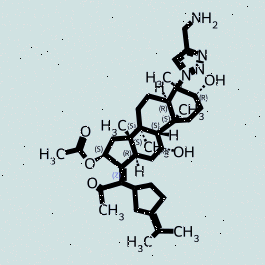 CC(=O)O[C@H]1C[C@@]2(C)[C@@H](C[C@@H](O)[C@H]3[C@@]4(C)CC[C@@H](O)[C@](C)(n5cc(CN)nn5)[C@@H]4CC[C@@]32C)/C1=C(/C(C)=O)C1CCC(=C(C)C)C1